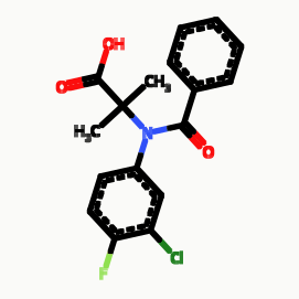 CC(C)(C(=O)O)N(C(=O)c1ccccc1)c1ccc(F)c(Cl)c1